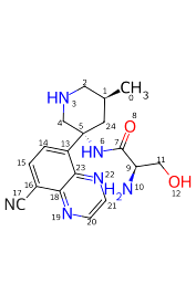 C[C@@H]1CNC[C@](NC(=O)[C@H](N)CO)(c2ccc(C#N)c3nccnc23)C1